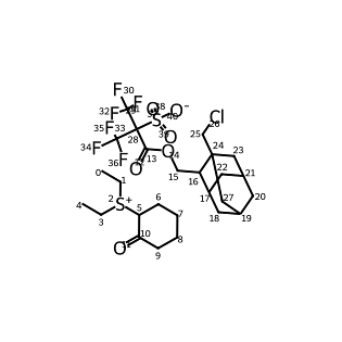 CC[S+](CC)C1CCCCC1=O.O=C(OCC1C2CC3CC(C2)CC1(CCl)C3)C(C(F)(F)F)(C(F)(F)F)S(=O)(=O)[O-]